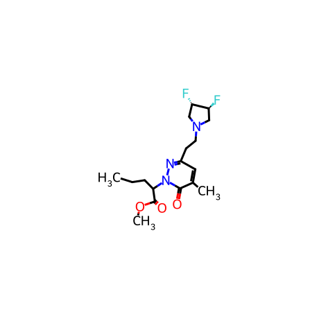 CCCC(C(=O)OC)n1nc(CCN2C[C@H](F)[C@@H](F)C2)cc(C)c1=O